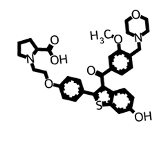 COc1cc(C(=O)c2c(-c3ccc(OCCN4CCCC4C(=O)O)cc3)sc3cc(O)ccc23)ccc1CN1CCOCC1